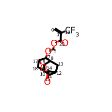 C=C(C(=O)OCOC1C2CC3CC(C2)C(=O)OC1C3)C(F)(F)F